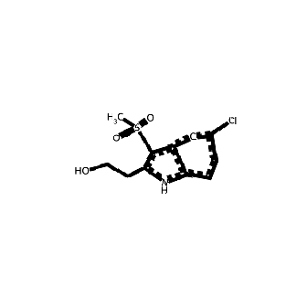 CS(=O)(=O)c1c(CCO)[nH]c2ccc(Cl)cc12